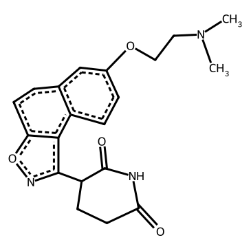 CN(C)CCOc1ccc2c(ccc3onc(C4CCC(=O)NC4=O)c32)c1